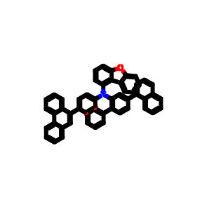 c1ccc(-c2ccc(-c3cccc4ccccc34)cc2N(c2ccc(-c3cc4ccccc4c4ccccc34)cc2)c2cccc3oc4ccccc4c23)cc1